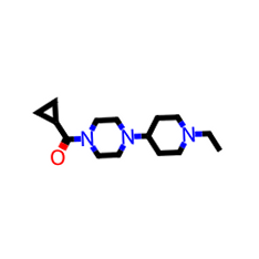 CCN1CCC(N2CCN(C(=O)C3CC3)CC2)CC1